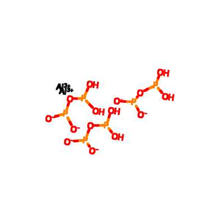 [Al+3].[Al+3].[O-]P([O-])OP(O)O.[O-]P([O-])OP(O)O.[O-]P([O-])OP(O)O